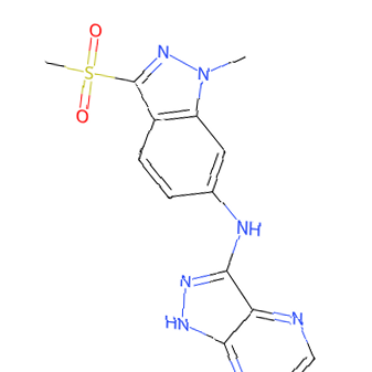 Cn1nc(S(C)(=O)=O)c2ccc(Nc3n[nH]c4nccnc34)cc21